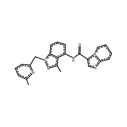 Cc1cccc(Cn2nc(C)c3c(NC(=O)c4cnc5ccccn45)cccc32)n1